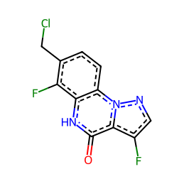 O=c1[nH]c2c(F)c(CCl)ccc2n2ncc(F)c12